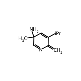 C=C1N=CC(C)(N)C=C1C(C)C